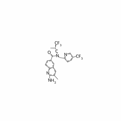 Cc1cc2cc(C(=O)N(Cc3ccc(C(F)(F)F)cn3)C[C@@H](C)C(F)(F)F)ccc2nc1N